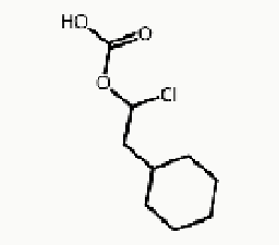 O=C(O)OC(Cl)CC1CCCCC1